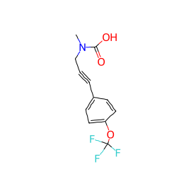 CN(CC#Cc1ccc(OC(F)(F)F)cc1)C(=O)O